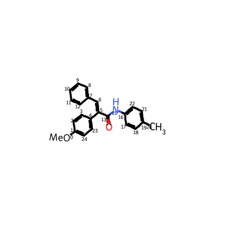 COc1ccc(/C(=C\c2ccccc2)C(=O)Nc2ccc(C)cc2)cc1